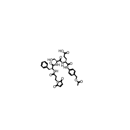 CC(=O)OCc1ccc(NC(=O)[C@H](CCC(=O)O)NC(=O)[C@H](CO)NC(=O)[C@H](Cc2ccccc2)NC(=O)CCN2C(=O)C=CC2=O)cc1